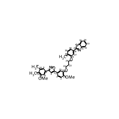 COc1ccc(-c2cc(-c3cc(C)c(C)c(OC)c3)no2)cc1OCCCOc1cc(-c2nc3ccccc3s2)ccc1C